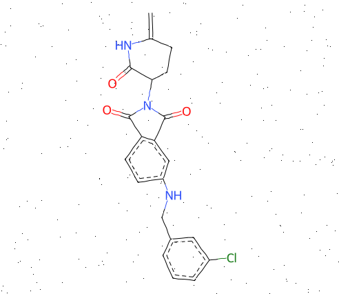 C=C1CCC(N2C(=O)c3ccc(NCc4cccc(Cl)c4)cc3C2=O)C(=O)N1